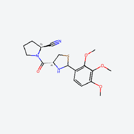 COc1ccc(C2N[C@H](C(=O)N3CCC[C@H]3C#N)CS2)c(OC)c1OC